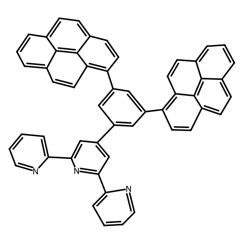 c1ccc(-c2cc(-c3cc(-c4ccc5ccc6cccc7ccc4c5c67)cc(-c4ccc5ccc6cccc7ccc4c5c67)c3)cc(-c3ccccn3)n2)nc1